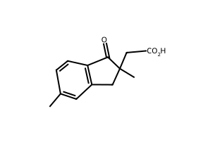 Cc1ccc2c(c1)CC(C)(CC(=O)O)C2=O